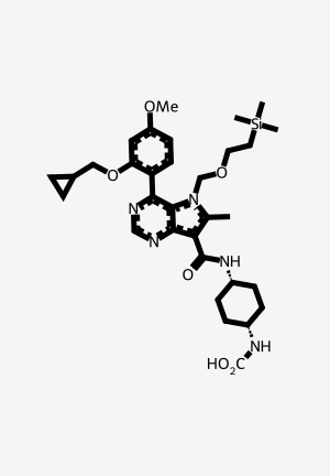 COc1ccc(-c2ncnc3c(C(=O)N[C@H]4CC[C@@H](NC(=O)O)CC4)c(C)n(COCC[Si](C)(C)C)c23)c(OCC2CC2)c1